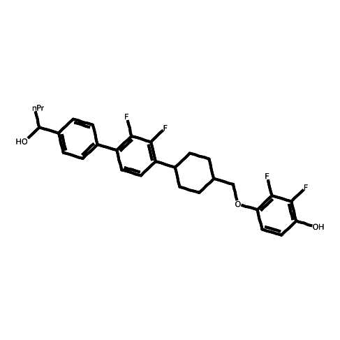 CCCC(O)c1ccc(-c2ccc(C3CCC(COc4ccc(O)c(F)c4F)CC3)c(F)c2F)cc1